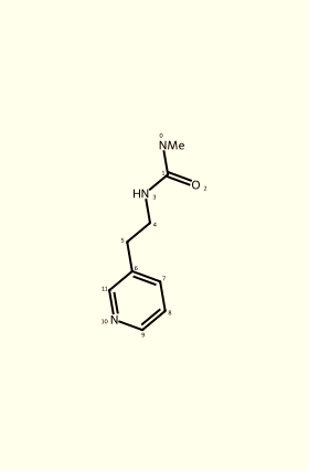 CNC(=O)NCCc1cccnc1